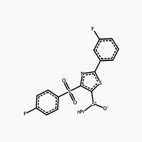 CCC[S+]([O-])c1sc(-c2cccc(F)c2)nc1S(=O)(=O)c1ccc(F)cc1